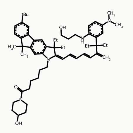 C=C(/C=C/C=C/C=C1/N(CCCCCC(=O)N2CCC(O)CC2)c2cc3c(cc2C1(CC)CC)-c1cc(C(C)(C)C)ccc1C3(C)C)C(CC)(CC)c1cc(N(C)C)ccc1NCCCO